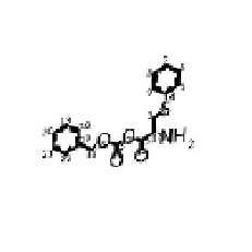 N[C@@H](CSc1ccccc1)C(=O)OC(=O)OCc1ccccc1